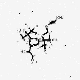 CC#COCOC(c1cc(C(C)CC)cc(C(C)(C(F)(F)F)C(F)(F)F)c1)(C(F)(F)F)C(F)(F)F